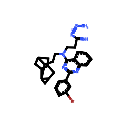 N=C(CCN(CCC1C2CC3CC4CC41C3C2)c1nc(-c2cccc(Br)c2)nc2ccccc12)/N=N\N